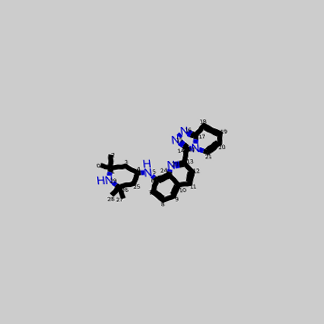 CC1(C)CC(Nc2cccc3ccc(-c4nnc5ccccn45)nc23)CC(C)(C)N1